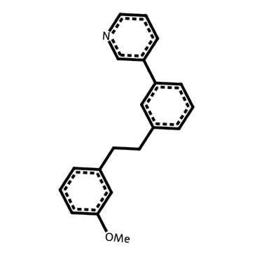 COc1cccc(CCc2cccc(-c3cccnc3)c2)c1